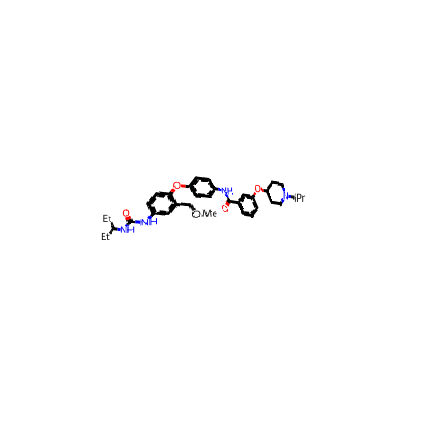 CCC(CC)NC(=O)Nc1ccc(Oc2ccc(NC(=O)c3cccc(OC4CCN(C(C)C)CC4)c3)cc2)c(COC)c1